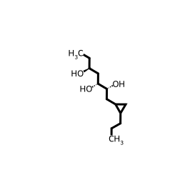 CCCC1CC1C[C@@H](O)[C@H](O)C[C@@H](O)CC